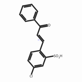 O=C(/C=C/c1ccc(Cl)cc1S(=O)(=O)O)c1ccccc1